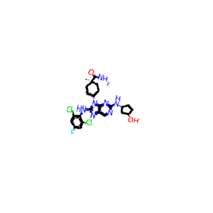 C[C@]1(C(N)=O)CC[C@H](n2c(Nc3c(Cl)cc(F)cc3Cl)nc3cnc(N[C@@H]4CC[C@@H](O)C4)nc32)CC1